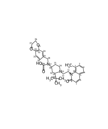 Cc1cccc2ccc(=O)n(CCN3CCC(N(Cc4ccc5c(c4)OCCO5)C(=O)O)CC3C(C)(C)C)c12